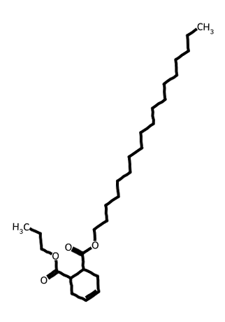 CCCCCCCCCCCCCCCCCCOC(=O)C1CC=CCC1C(=O)OCCC